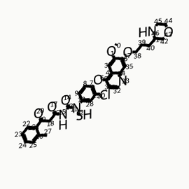 COc1cc2c(Oc3ccc(N(S)C(=O)NC(=O)CC(=O)c4ccccc4C)cc3Cl)ccnc2cc1OCCCC1COCCN1